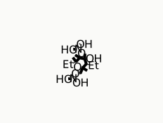 CC[C@@H]1C(C)(CON(O)O)O[C@](C)(CC)C(C)(ON(O)O)C1(C)O